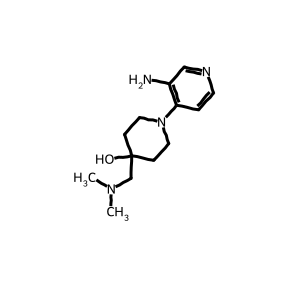 CN(C)CC1(O)CCN(c2ccncc2N)CC1